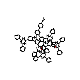 N#Cc1ccc(-c2ccc(-n3c4ccc(-c5nc(-c6ccccc6)nc(-c6ccccc6)n5)cc4c4cc(-c5nc(-c6ccccc6)nc(-c6ccccc6)n5)ccc43)c(-c3ccc(-n4c5ccc(-c6nc(-c7ccccc7)nc(-c7ccccc7)n6)cc5c5cc(-c6nc(-c7ccccc7)nc(-c7ccccc7)n6)ccc54)c(-c4nc(-c5ccccc5)nc(-c5ccccc5)n4)c3)c2)cc1